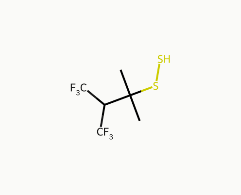 CC(C)(SS)C(C(F)(F)F)C(F)(F)F